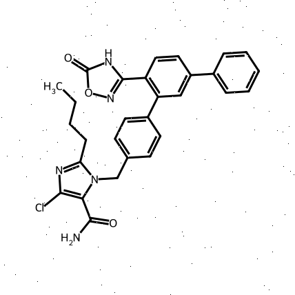 CCCCc1nc(Cl)c(C(N)=O)n1Cc1ccc(-c2cc(-c3ccccc3)ccc2-c2noc(=O)[nH]2)cc1